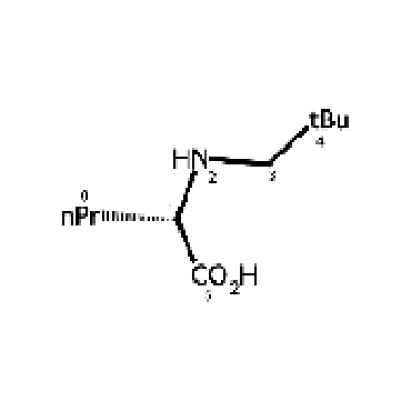 CCC[C@H](NCC(C)(C)C)C(=O)O